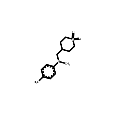 Cc1ccc(N(C)CC2CCS(=O)(=O)CC2)cc1